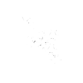 C=CC(=O)OCCCCOC(=O)c1ccccc1-c1c2ccc(=[N+](CC)CC)cc-2oc2cc(N(CC)CC)ccc12